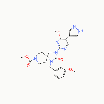 COC(=O)N1CCC2(CC1)CN(c1ncc(-c3cn[nH]c3)c(OC)n1)C(=O)N2Cc1cccc(OC)c1